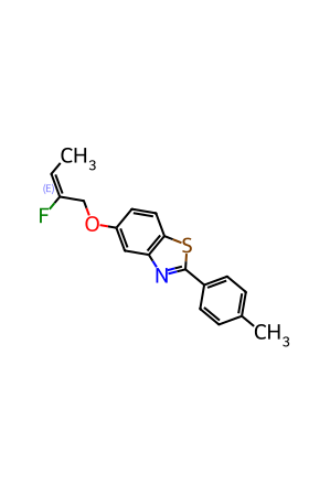 C/C=C(/F)COc1ccc2sc(-c3ccc(C)cc3)nc2c1